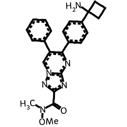 CON(C)C(=O)c1nc2nc(-c3ccc(C4(N)CCC4)cc3)c(-c3ccccc3)cn2n1